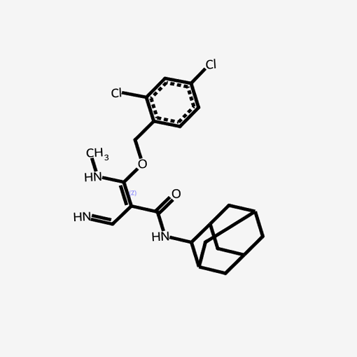 CN/C(OCc1ccc(Cl)cc1Cl)=C(\C=N)C(=O)NC1C2CC3CC(C2)CC1C3